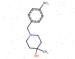 CC1(O)CCN(Cc2ccc([N+](=O)[O-])cc2)CC1